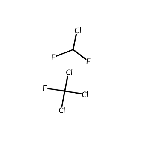 FC(Cl)(Cl)Cl.FC(F)Cl